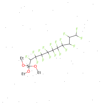 CCO[Si](OCC)(OCC)C(F)C(F)(F)C(F)(F)C(F)(F)C(F)(F)C(F)(F)C(F)(F)C(F)C(F)C(F)F